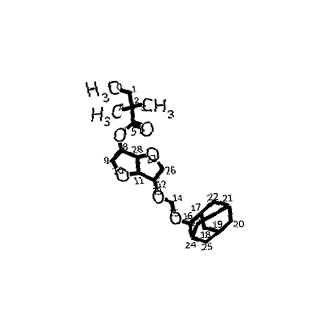 CCC(C)(C)C(=O)OC1COC2C(OCOC3C4CC5CC(C4)CC3C5)COC12